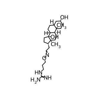 C[C@]12CC[C@H](O)C[C@H]1CC[C@@H]1[C@@H]2CC[C@]2(C)[C@@H](C/C=N/OCCCNC(=N)N)CC[C@]12O